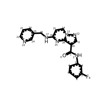 O=C(Nc1cccc(F)c1)c1cnn2ccc(NCc3cccnc3)nc12